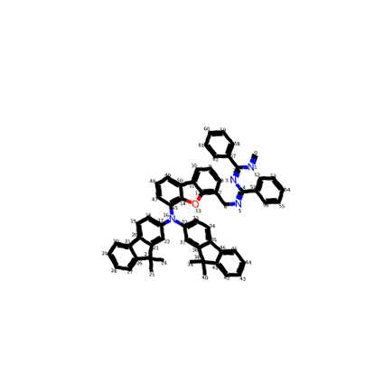 C=N/C(=N\C(=N/Cc1cccc2c1oc1c(N(c3ccc4c(c3)C(C)(C)c3ccccc3-4)c3ccc4c(c3)C(C)(C)c3ccccc3-4)cccc12)c1ccccc1)c1ccccc1